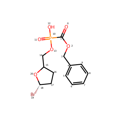 O=C(OCc1ccccc1)P(=O)(O)OCC1CC[C@H](Br)O1